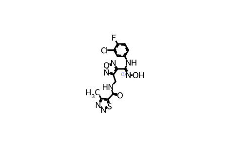 Cc1nnsc1C(=O)NCc1nonc1/C(=N/O)Nc1ccc(F)c(Cl)c1